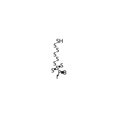 B#P(I)S(=S)(=S)SSSSSS